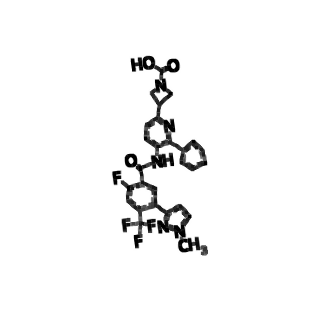 Cn1ccc(-c2cc(C(=O)Nc3ccc(C4CN(C(=O)O)C4)nc3-c3ccccc3)c(F)cc2C(F)(F)F)n1